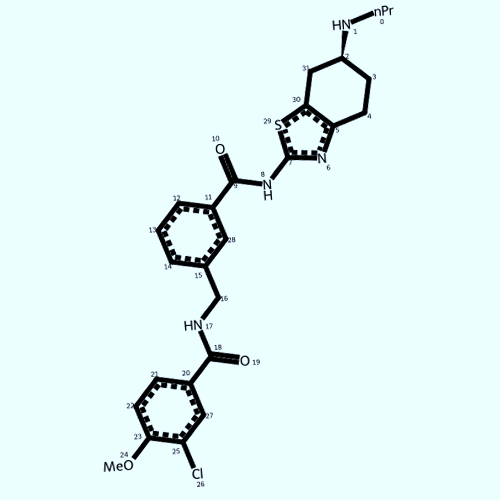 CCCN[C@H]1CCc2nc(NC(=O)c3cccc(CNC(=O)c4ccc(OC)c(Cl)c4)c3)sc2C1